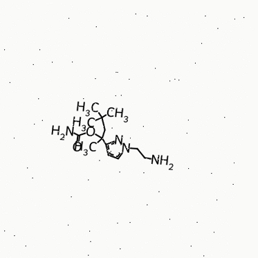 CC(C)(C)CC(C)(OC(N)=O)c1ccn(CCN)n1